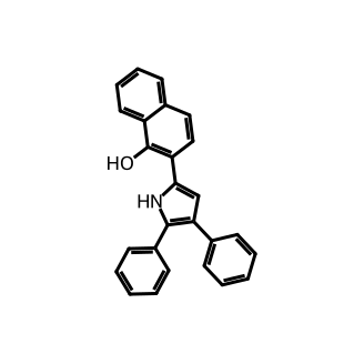 Oc1c(-c2cc(-c3ccccc3)c(-c3ccccc3)[nH]2)ccc2ccccc12